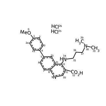 COc1ccc(-c2ccc3ncc(C(=O)O)c(NCCCN(C)C)c3c2)cc1.Cl.Cl